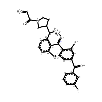 C=CC(=O)N1CCC(C(C)c2ncnc(N)c2/C(=N\C)c2ccc(C(=O)c3cccc(F)c3)cc2F)C1